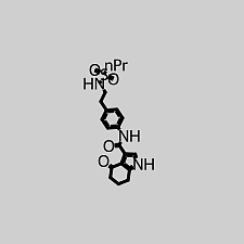 CCCS(=O)(=O)NCCc1ccc(NC(=O)c2c[nH]c3c2C(=O)CCC3)cc1